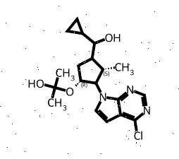 C[C@H]1C(C(O)C2CC2)C[C@@H](OC(C)(C)O)C1n1ccc2c(Cl)ncnc21